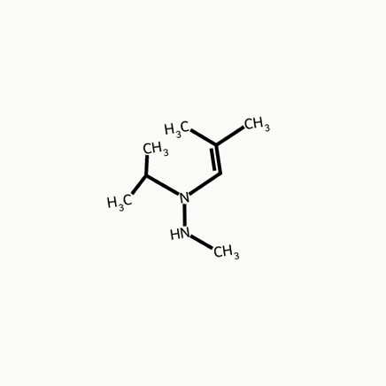 CNN(C=C(C)C)C(C)C